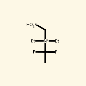 CC[N+](CC)(CS(=O)(=O)O)C(C)(F)F